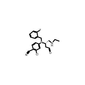 CCNC[C@H](CC=O)N(Cc1ccccc1F)c1ccc(C#N)c(Cl)c1